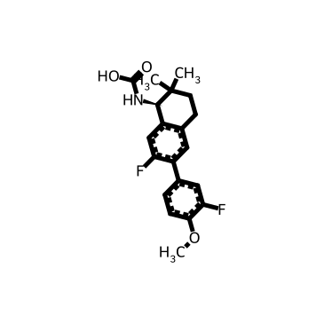 COc1ccc(-c2cc3c(cc2F)[C@@H](NC(=O)O)C(C)(C)CC3)cc1F